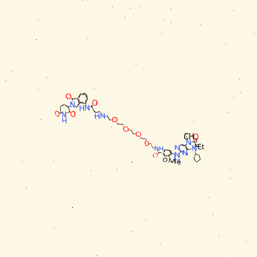 CC[C@@H]1C(=O)N(C)c2cnc(Nc3ccc(C(=O)NCCOCCOCCOCCOCCNCCC(=O)Nc4cccc5c4CN(C4CCC(=O)NC4=O)C5=O)cc3OC)nc2N1C1CCCC1